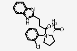 NC(=O)[C@@H]1CCC[N+]1(C(=O)CCc1nc2ccccc2[nH]1)c1ccccc1Cl